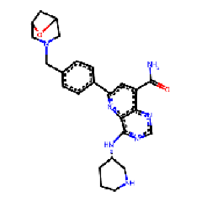 NC(=O)c1cc(-c2ccc(CN3CC4CC(C3)O4)cc2)nc2c(N[C@H]3CCCNC3)ncnc12